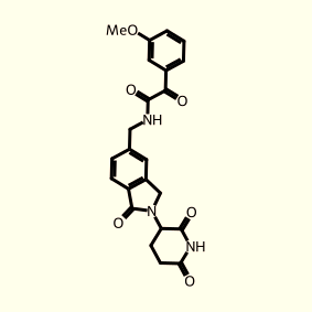 COc1cccc(C(=O)C(=O)NCc2ccc3c(c2)CN(C2CCC(=O)NC2=O)C3=O)c1